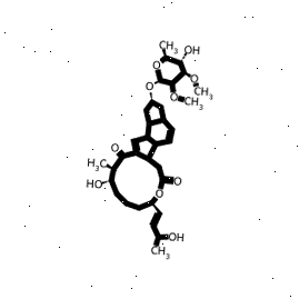 COC1[C@H](O[C@@H]2CC3C=CC4C5CC(=O)O[C@@H](/C=C/C(C)O)CCC[C@H](O)[C@@H](C)C(=O)C5=CC4C3C2)O[C@@H](C)[C@H](O)[C@H]1OC